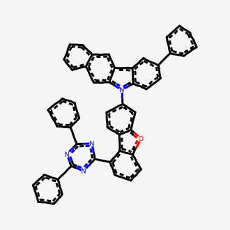 c1ccc(-c2ccc3c(c2)c2cc4ccccc4cc2n3-c2ccc3c(c2)oc2cccc(-c4nc(-c5ccccc5)nc(-c5ccccc5)n4)c23)cc1